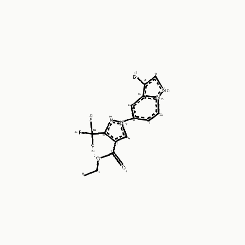 CCOC(=O)c1cn(-c2ccn3ncc(Br)c3c2)nc1C(F)(F)F